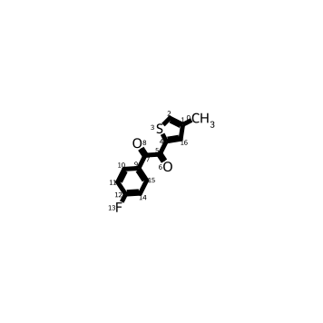 Cc1csc(C(=O)C(=O)c2ccc(F)cc2)c1